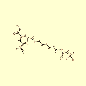 COC(=O)c1cc(OCCCCCCONC(=O)OC(C)(C)C)cc(C(C)=O)c1